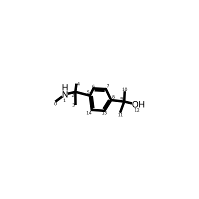 CNC(C)(C)c1ccc(C(C)(C)O)cc1